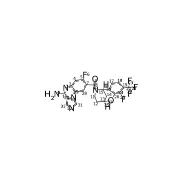 Nc1nc2cc(F)c(C(=O)N3CC[C@H]4C[C@@H]3c3ccc(C(F)(F)F)c(F)c3O4)cc2n2cncc12